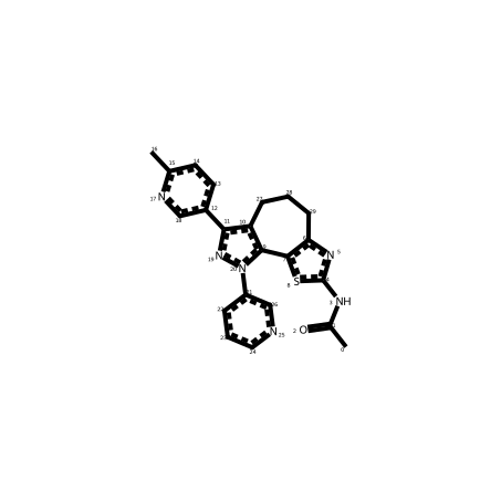 CC(=O)Nc1nc2c(s1)-c1c(c(-c3ccc(C)nc3)nn1-c1cccnc1)CCC2